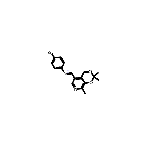 Cc1ncc(/C=N/c2ccc(Br)cc2)c2c1OC(C)(C)OC2